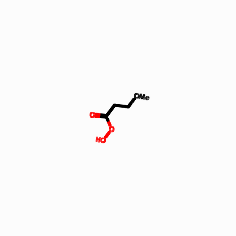 COCCC(=O)OO